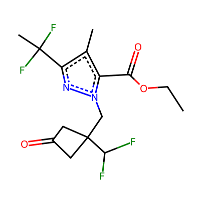 CCOC(=O)c1c(C)c(C(C)(F)F)nn1CC1(C(F)F)CC(=O)C1